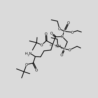 CCOP(=O)(CN(C(=O)[C@@](N)(CCCC(N)C(=O)OC(C)(C)C)C(=O)OC(C)(C)C)P(=O)(OCC)OCC)OCC